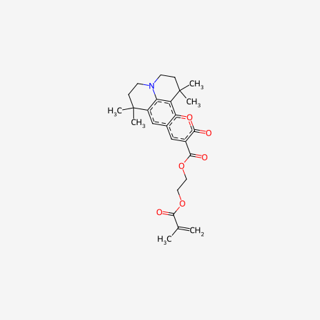 C=C(C)C(=O)OCCOC(=O)c1cc2cc3c4c(c2oc1=O)C(C)(C)CCN4CCC3(C)C